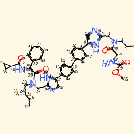 CCCN(Cc1ncc(-c2ccc(-c3ccc(-c4cnc(CN(C[C@@H](C)CC)C(=O)[C@H](NC(=O)C5CC5)c5ccccc5)[nH]4)cc3)cc2)[nH]1)C(=O)CNC(=O)OC